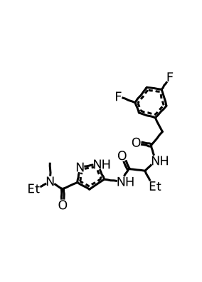 CCC(NC(=O)Cc1cc(F)cc(F)c1)C(=O)Nc1cc(C(=O)N(C)CC)n[nH]1